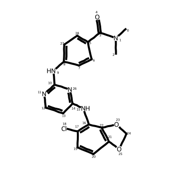 CN(C)C(=O)c1ccc(Nc2nccc(Nc3c(Cl)ccc4c3OCO4)n2)cc1